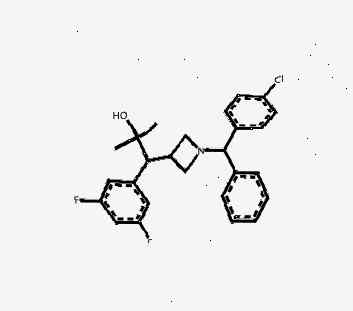 CC(C)(O)C(c1cc(F)cc(F)c1)C1CN(C(c2ccccc2)c2ccc(Cl)cc2)C1